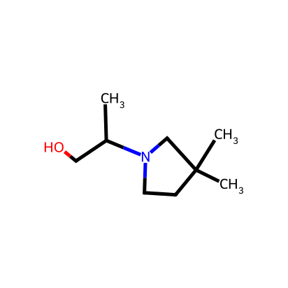 CC(CO)N1CCC(C)(C)C1